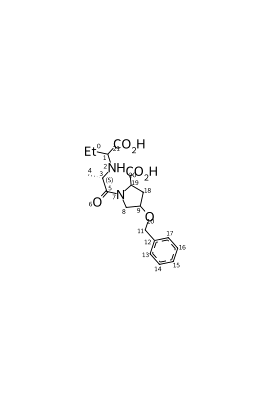 CCC(N[C@@H](C)C(=O)N1CC(OCc2ccccc2)CC1C(=O)O)C(=O)O